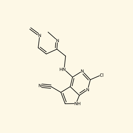 C=N/C=C\C(CNc1nc(Cl)nc2[nH]cc(C#N)c12)=N/C